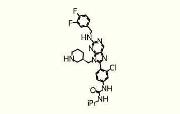 CC(C)NC(=O)Nc1ccc(-c2nc3cnc(NCc4ccc(F)c(F)c4)nc3n2C[C@@H]2CCCNC2)c(Cl)c1